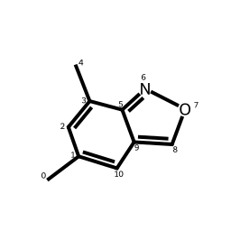 Cc1cc(C)c2nocc2c1